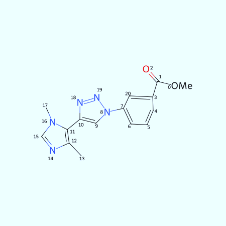 COC(=O)c1cccc(-n2cc(-c3c(C)ncn3C)nn2)c1